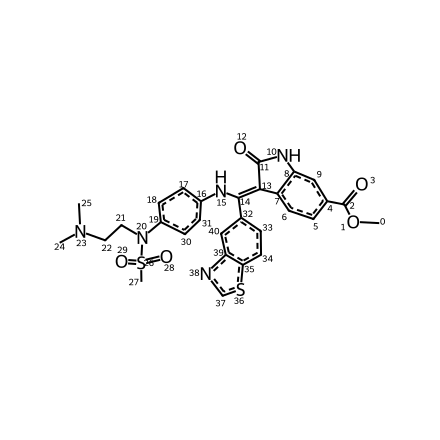 COC(=O)c1ccc2c(c1)NC(=O)/C2=C(\Nc1ccc(N(CCN(C)C)S(C)(=O)=O)cc1)c1ccc2scnc2c1